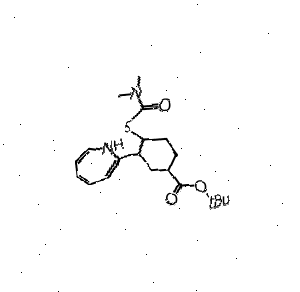 CN(C)C(=O)SC1CCC(C(=O)OC(C)(C)C)CC1C1=CC=CC=CN1